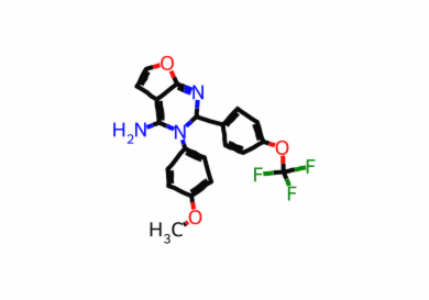 COc1ccc(N2C(N)=c3ccoc3=NC2c2ccc(OC(F)(F)F)cc2)cc1